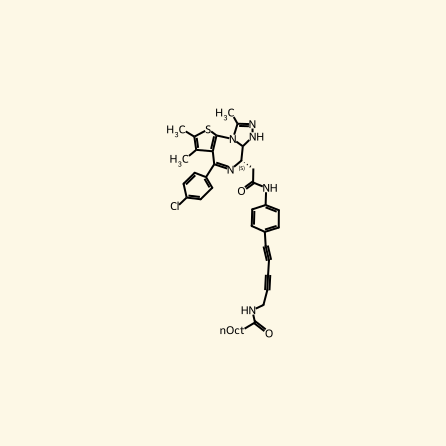 CCCCCCCCC(=O)NCC#CC#Cc1ccc(NC(=O)C[C@@H]2N=C(c3ccc(Cl)cc3)c3c(sc(C)c3C)N3C(C)=NNC23)cc1